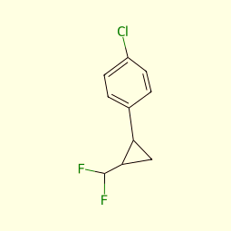 FC(F)C1CC1c1ccc(Cl)cc1